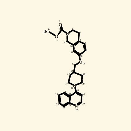 CC(C)(C)OC(=O)N1CCc2ccc(OCC3CCN(c4ccnc5ccccc45)CC3)cc2C1